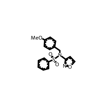 COc1ccc(CN(c2ccon2)S(=O)(=O)c2ccccc2)cc1